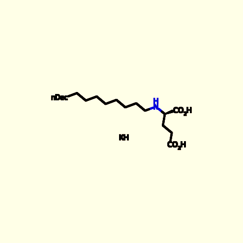 CCCCCCCCCCCCCCCCCCN[C@H](CCC(=O)O)C(=O)O.[KH]